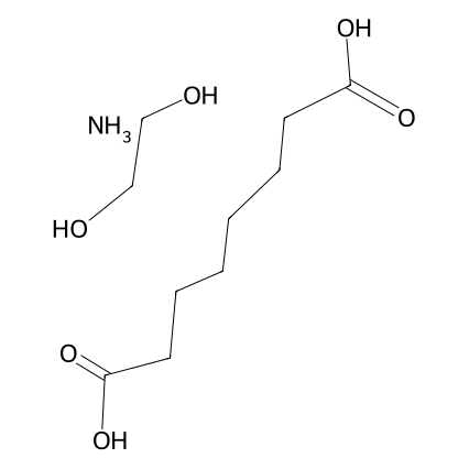 N.O=C(O)CCCCCCC(=O)O.OCCO